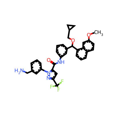 COc1ccc2cccc(C(OCC3CC3)c3cccc(NC(=O)c4cc(C(F)(F)F)nn4-c4cccc(CN)c4)c3)c2c1